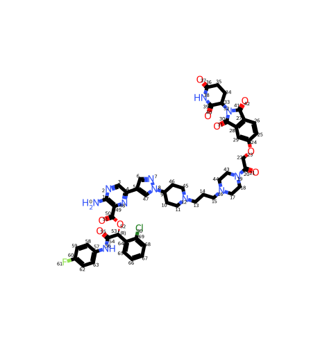 Nc1ncc(-c2cnn(C3CCN(CCCN4CCN(C(=O)COc5ccc6c(c5)C(=O)N(C5CCC(=O)NC5=O)C6=O)CC4)CC3)c2)nc1C(=O)O[C@@H](C(=O)Nc1ccc(F)cc1)c1ccccc1Cl